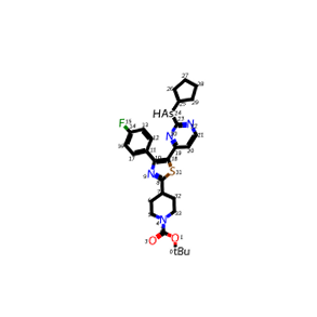 CC(C)(C)OC(=O)N1CCC(c2nc(-c3ccc(F)cc3)c(-c3ccnc([AsH]C4CCCC4)n3)s2)CC1